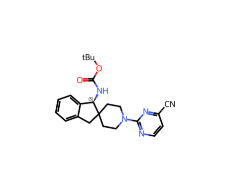 CC(C)(C)OC(=O)N[C@@H]1c2ccccc2CC12CCN(c1nccc(C#N)n1)CC2